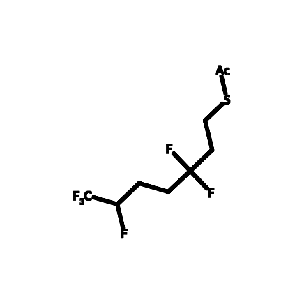 CC(=O)SCCC(F)(F)CCC(F)C(F)(F)F